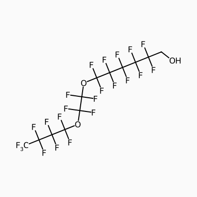 OCC(F)(F)C(F)(F)C(F)(F)C(F)(F)C(F)(F)OC(F)(F)C(F)(F)OC(F)(F)C(F)(F)C(F)(F)C(F)(F)F